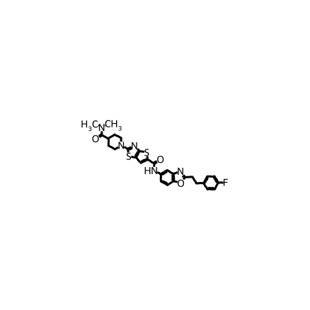 CN(C)C(=O)C1CCN(c2nc3sc(C(=O)Nc4ccc5oc(CCc6ccc(F)cc6)nc5c4)cc3s2)CC1